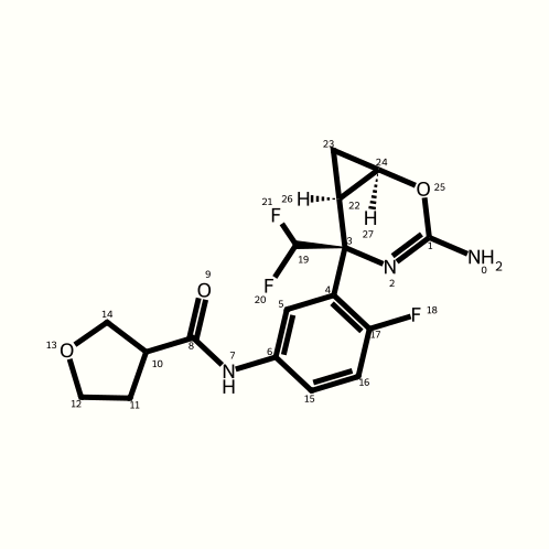 NC1=N[C@@](c2cc(NC(=O)C3CCOC3)ccc2F)(C(F)F)[C@H]2C[C@H]2O1